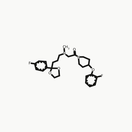 CN(CCCC1(c2ccc(F)cc2)OCCO1)CC(=O)N1CCC(Oc2ccccc2F)CC1